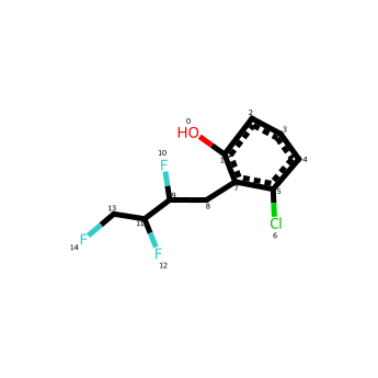 Oc1cccc(Cl)c1CC(F)C(F)CF